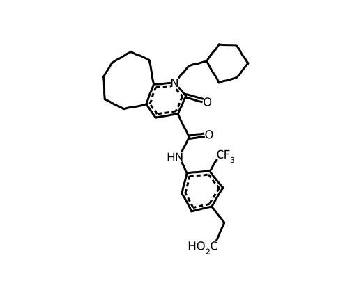 O=C(O)Cc1ccc(NC(=O)c2cc3c(n(CC4CCCCC4)c2=O)CCCCCC3)c(C(F)(F)F)c1